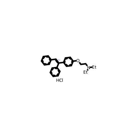 CCN(CC)CCOc1ccc(/C(=C/c2ccccc2)c2ccccc2)cc1.Cl